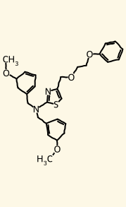 COC1C=C(CN(CC2=CC=CC(OC)C2)c2nc(COCCOc3ccccc3)cs2)C=CC1